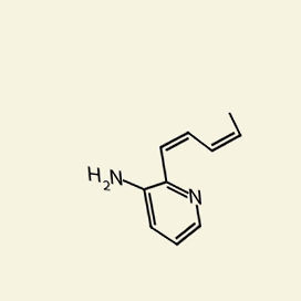 C/C=C\C=C/c1ncccc1N